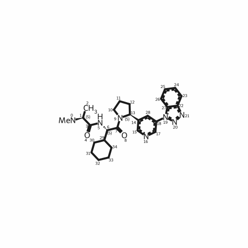 CN[C@@H](C)C(=O)N[C@H](C(=O)N1CCC[C@H]1c1cncc(-n2nnc3ccccc32)c1)C1CCCCC1